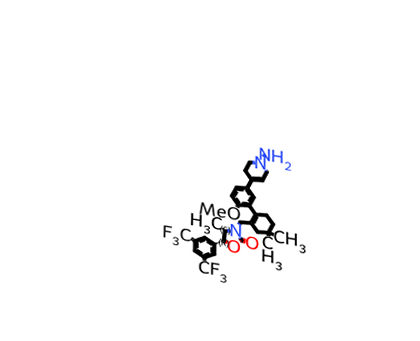 COc1ccc(C2=CCN(N)CC2)cc1C1=C(CN2C(=O)O[C@H](c3cc(C(F)(F)F)cc(C(F)(F)F)c3)[C@@H]2C)CC(C)(C)CC1